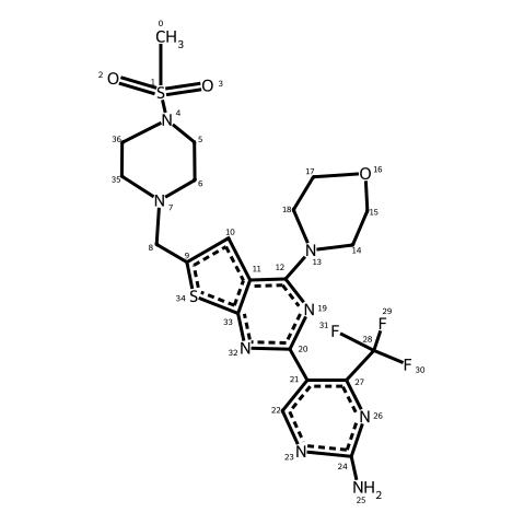 CS(=O)(=O)N1CCN(Cc2cc3c(N4CCOCC4)nc(-c4cnc(N)nc4C(F)(F)F)nc3s2)CC1